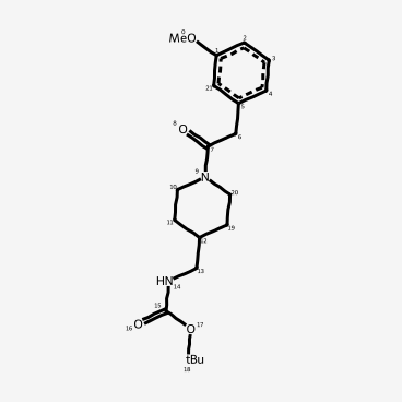 COc1cccc(CC(=O)N2CCC(CNC(=O)OC(C)(C)C)CC2)c1